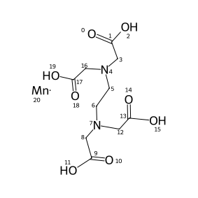 O=C(O)CN(CCN(CC(=O)O)CC(=O)O)CC(=O)O.[Mn]